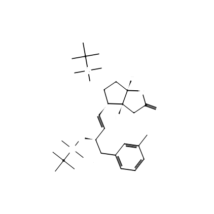 Cc1cccc([C@H](C)[C@H](/C=C/[C@@H]2[C@H]3CC(=O)O[C@H]3C[C@H]2O[Si](C)(C)C(C)(C)C)O[Si](C)(C)C(C)(C)C)c1